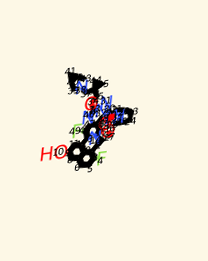 C#Cc1c(F)ccc2cc(O)cc(-c3nc(OC)c4c(N5CC6CCC(C5)N6C(=O)C#N)nc(OCC5(CN6CC7CC7C6)CC5)nc4c3F)c12